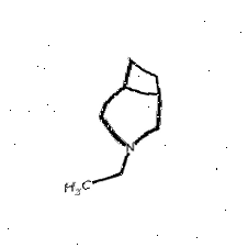 CCN1CC2CCC2C1